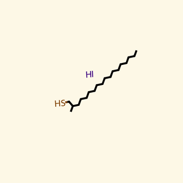 CCCCCCCCCCCCCCCCC(C)CS.I